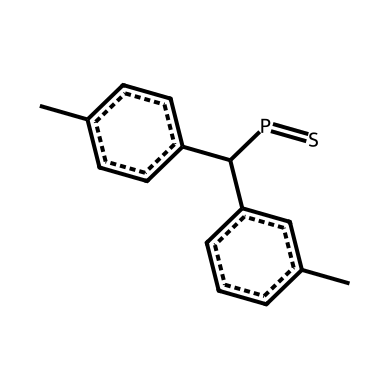 Cc1ccc(C(P=S)c2cccc(C)c2)cc1